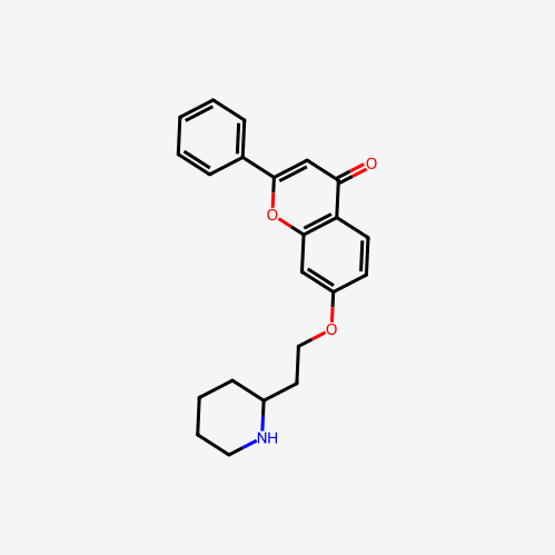 O=c1cc(-c2ccccc2)oc2cc(OCCC3CCCCN3)ccc12